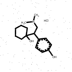 CN(C)CC(c1ccc(O)cc1)C1(O)CCCCC1.Cl